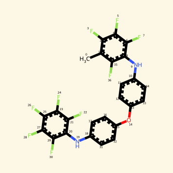 Cc1c(F)c(F)c(F)c(Nc2ccc(Oc3ccc(Nc4c(F)c(F)c(F)c(F)c4F)cc3)cc2)c1F